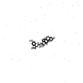 C[C@]12CCC(=O)C=C1CC[C@H]1[C@@H]3CC[C@H](C(CO)=NNC(=O)CC(C=C=O)c4ccc(O)cc4)[C@@]34CC(OC4O)[C@@H]12